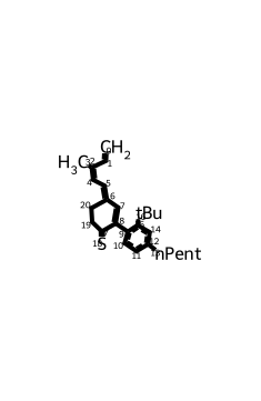 C=C/C(C)=C\C=C1\C=C(c2ccc(CCCCC)cc2C(C)(C)C)C(=S)CC1